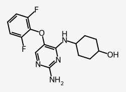 Nc1ncc(Oc2c(F)cccc2F)c(NC2CCC(O)CC2)n1